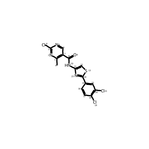 Cc1nc(Cl)ncc1C(=O)Nc1csc(-c2ccc(Cl)c(Cl)c2)n1